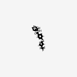 O=C(N[C@H]1CN2CCC1CC2)c1ccc(Sc2cc(C(F)(F)F)cs2)cc1